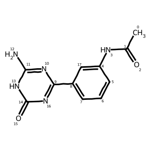 CC(=O)Nc1cccc(-c2nc(N)[nH]c(=O)n2)c1